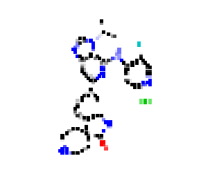 CC(C)n1cnc2cc(-c3ccc4c(c3)NC(=O)C43CCNCC3)nc(Nc3ccncc3F)c21.Cl